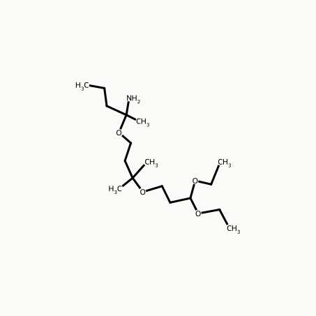 CCCC(C)(N)OCCC(C)(C)OCCC(OCC)OCC